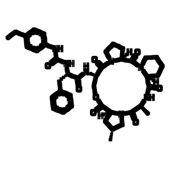 CCc1ccc(NC(=O)N[C@@H](Cc2ccccc2)C(=O)N[C@H]2COC(=O)[C@@H]3C[C@@H](C)CN3C(=O)[C@H](C)NC(=O)[C@@H]3CCCCN3C(=O)[C@@H]3CCCN3C2=O)cc1